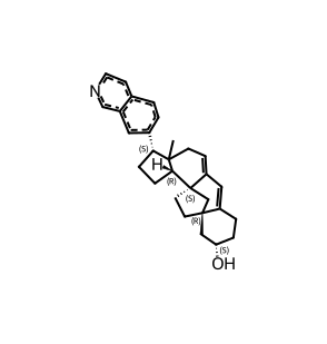 CC12CC=C3C=C4CC[C@H](O)C[C@]45CC[C@]3(C5)[C@@H]1CC[C@@H]2c1ccc2ccncc2c1